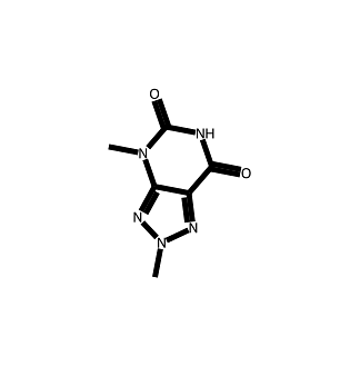 Cn1nc2c(=O)[nH]c(=O)n(C)c2n1